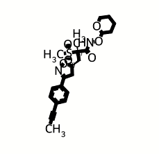 CC#Cc1ccc(C2=NO[C@@H](C[C@](C)(C(=O)NOC3CCCCO3)S(C)(=O)=O)C2)cc1